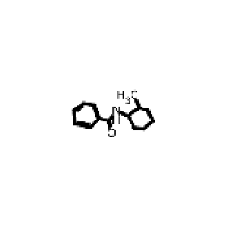 CC1CCCCC1NC(=O)c1ccccc1